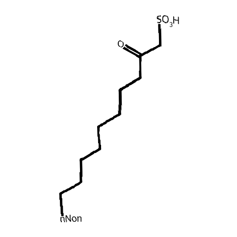 CCCCCCCCCCCCCCCCCC(=O)CS(=O)(=O)O